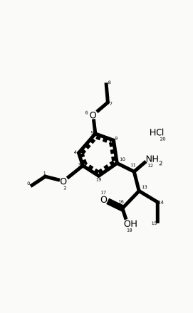 CCOc1cc(OCC)cc(C(N)C(CC)C(=O)O)c1.Cl